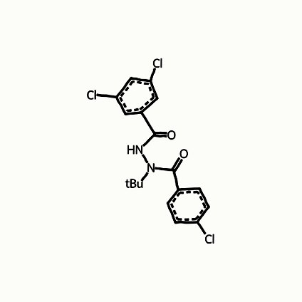 CC(C)(C)N(NC(=O)c1cc(Cl)cc(Cl)c1)C(=O)c1ccc(Cl)cc1